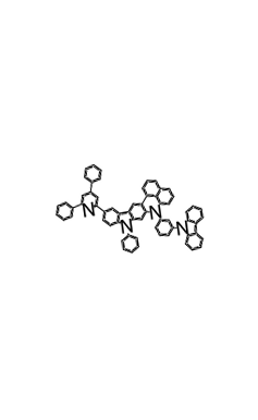 c1ccc(-c2cc(-c3ccccc3)nc(-c3ccc4c(c3)c3cc5c(cc3n4-c3ccccc3)N(c3cccc(-n4c6ccccc6c6ccccc64)c3)c3cccc4cccc-5c34)c2)cc1